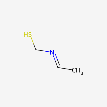 CC=NCS